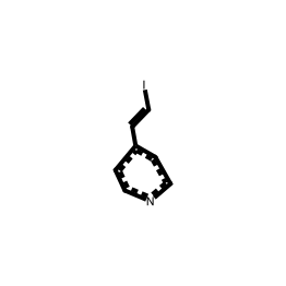 I/C=C/c1ccncc1